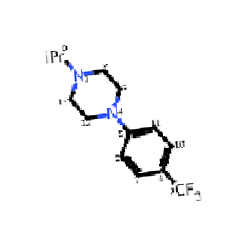 CC(C)N1CCN(c2ccc(C(F)(F)F)cc2)CC1